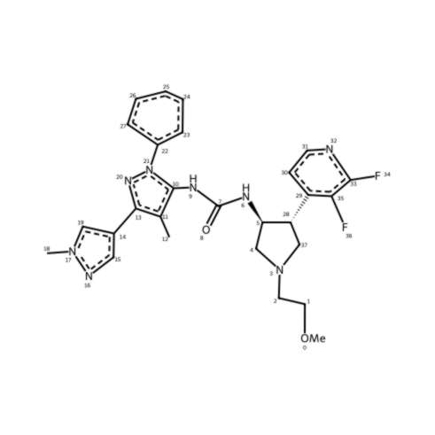 COCCN1C[C@@H](NC(=O)Nc2c(C)c(-c3cnn(C)c3)nn2-c2ccccc2)[C@H](c2ccnc(F)c2F)C1